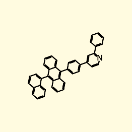 c1ccc(-c2cc(-c3ccc(-c4c5ccccc5c(-c5cccc6ccccc56)c5ccccc45)cc3)ccn2)cc1